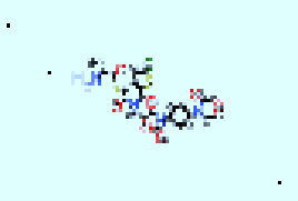 CC(C)[C@H](N)C(=O)SCC(=O)N(C[C@H]1CN(c2ccc(N3CCOCC3=O)cc2)C(=O)O1)C(=O)c1ccc(Cl)s1